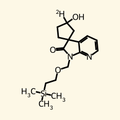 [2H]C1(O)CCC2(C1)C(=O)N(COCC[Si](C)(C)C)c1ncccc12